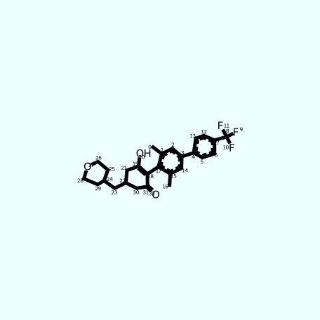 Cc1cc(-c2ccc(C(F)(F)F)cc2)cc(C)c1C1=C(O)CC(CC2CCOCC2)CC1=O